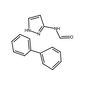 O=CNc1cc[nH]n1.c1ccc(-c2ccccc2)cc1